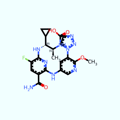 COc1ncc(Nc2nc(N[C@H](C3CC3)[C@H](C)NC(=O)O)c(F)cc2C(N)=O)cc1-n1ccnn1